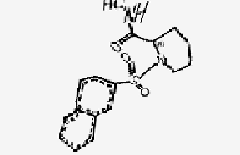 O=C(NO)[C@H]1CCCCN1S(=O)(=O)c1ccc2ccccc2c1